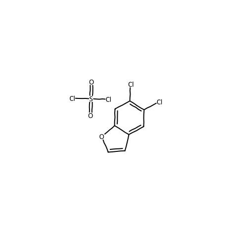 Clc1cc2ccoc2cc1Cl.O=S(=O)(Cl)Cl